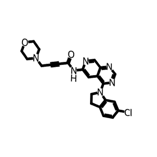 O=C(C#CCN1CCOCC1)Nc1cc2c(N3CCc4ccc(Cl)cc43)ncnc2cn1